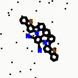 N#Cc1cc(C#N)c(-n2c3ccccc3c3c4sc5ccccc5c4ccc32)c(-c2ccccc2)c1-n1c2ccccc2c2c3sc4ccccc4c3ccc21